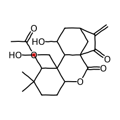 C=C1C(=O)C23CC1CC(O)C2C1(COC(C)=O)C(CCC(C)(C)C1CO)OC3=O